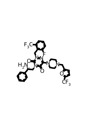 N[C@H](Cn1c(=O)c(N2CCN(Cc3ccc(C(F)(F)F)o3)CC2)nn(Cc2c(F)cccc2C(F)(F)F)c1=O)c1ccccc1